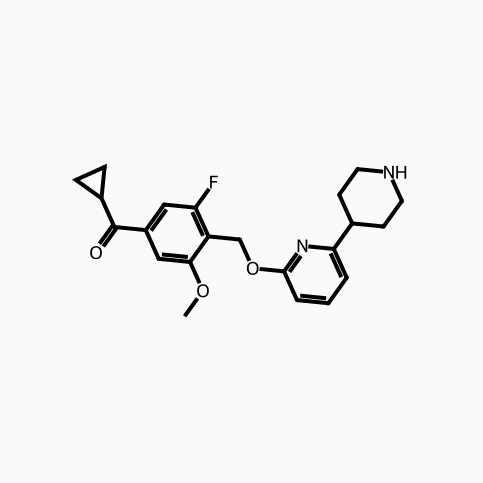 COc1cc(C(=O)C2CC2)cc(F)c1COc1cccc(C2CCNCC2)n1